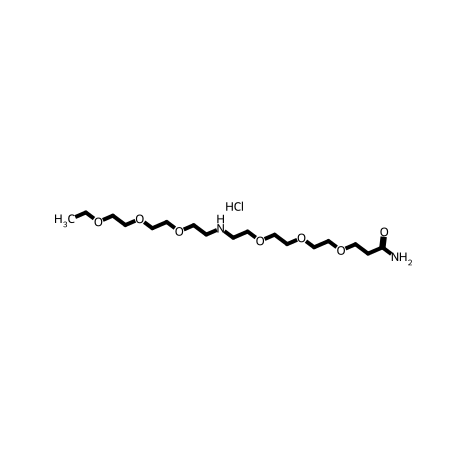 CCOCCOCCOCCNCCOCCOCCOCCC(N)=O.Cl